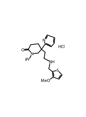 COc1ccsc1CNCCC1(c2ccccn2)CCC(=O)N(C(C)C)C1.Cl